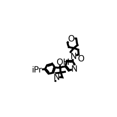 CC(C)c1ccc(C(O)(c2cncc(N3CC4(CCOCC4)CC3=O)c2)C2(C)CN(C)C2)cc1